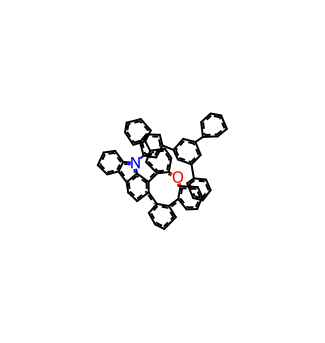 c1ccc(-c2cc(-c3ccccc3)cc(-c3cccc(-n4c5ccccc5c5ccc6c7ccccc7c7ccccc7oc7ccc(-c8ccccc8)cc7c6c54)c3)c2)cc1